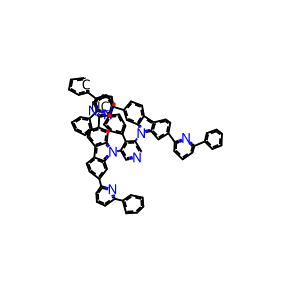 N#Cc1ccc(-c2c(-n3c4cc(-c5cccc(-c6ccccc6)n5)ccc4c4ccc(-c5cccc(-c6ccccc6)n5)cc43)cncc2-n2c3cc(-c4cccc(-c5ccccc5)n4)ccc3c3ccc(-c4cccc(-c5ccccc5)n4)cc32)cc1